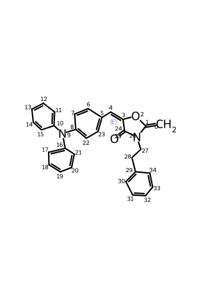 C=c1o/c(=C/c2ccc(N(c3ccccc3)c3ccccc3)cc2)c(=O)n1CCc1ccccc1